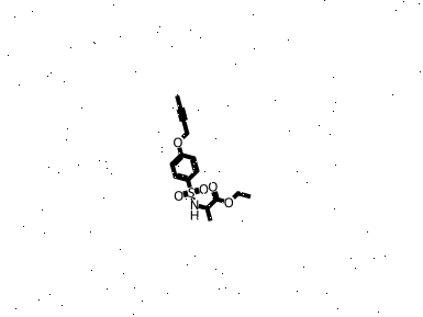 CC#CCOc1ccc(S(=O)(=O)NC(C)C(=O)OCC)cc1